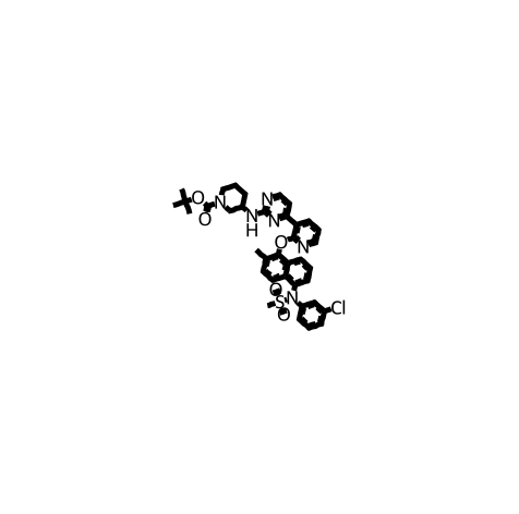 Cc1ccc2c(N(c3cccc(Cl)c3)S(C)(=O)=O)cccc2c1Oc1ncccc1-c1ccnc(NC2CCCN(C(=O)OC(C)(C)C)C2)n1